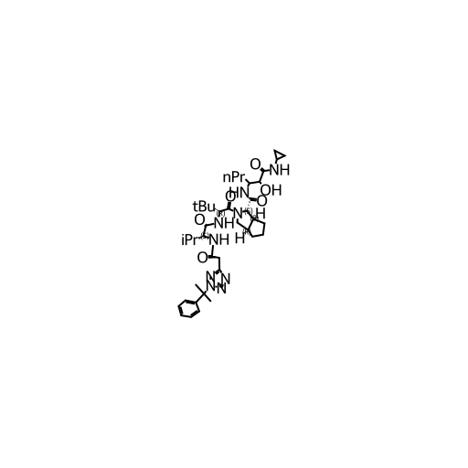 CCCC(NC(=O)[C@@H]1[C@H]2CCC[C@H]2CN1C(=O)[C@H](NC(=O)[C@@H](NC(=O)Cc1nnn(C(C)(C)c2ccccc2)n1)C(C)C)C(C)(C)C)C(O)C(=O)NC1CC1